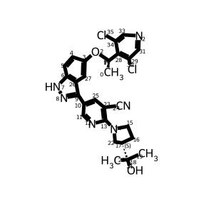 C[C@@H](Oc1ccc2[nH]nc(-c3cnc(N4CC[C@H](C(C)(C)O)C4)c(C#N)c3)c2c1)c1c(Cl)cncc1Cl